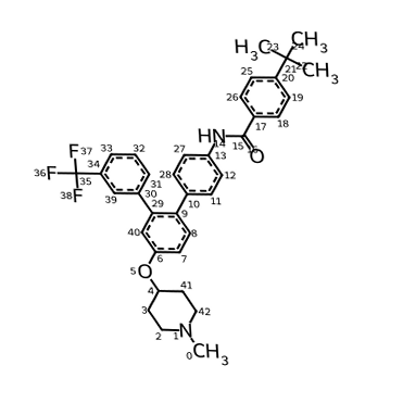 CN1CCC(Oc2ccc(-c3ccc(NC(=O)c4ccc(C(C)(C)C)cc4)cc3)c(-c3cccc(C(F)(F)F)c3)c2)CC1